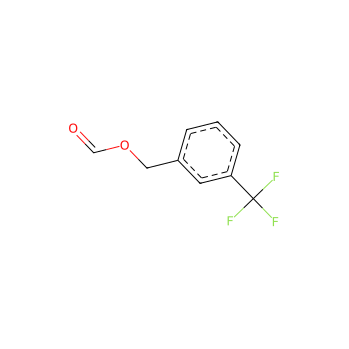 O=COCc1cccc(C(F)(F)F)c1